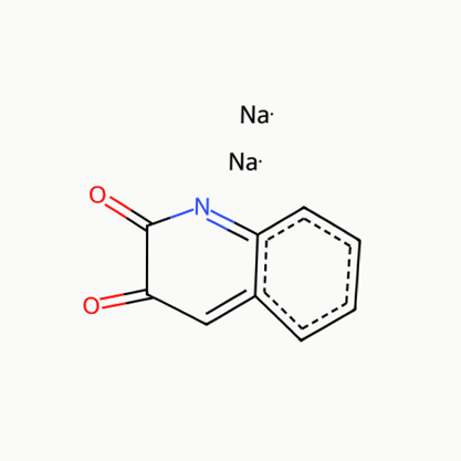 O=C1C=c2ccccc2=NC1=O.[Na].[Na]